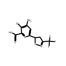 Nc1cc(C2CC(C(F)(F)F)=NO2)nc(C(=O)O)c1Cl